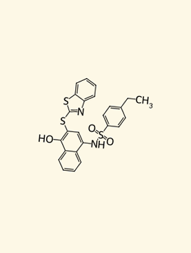 CCc1ccc(S(=O)(=O)Nc2cc(Sc3nc4ccccc4s3)c(O)c3ccccc23)cc1